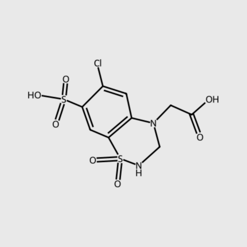 O=C(O)CN1CNS(=O)(=O)c2cc(S(=O)(=O)O)c(Cl)cc21